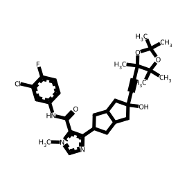 Cn1cnc(C2CC3CC(O)(C#CC4(C)OC(C)(C)OC4(C)C)CC3C2)c1C(=O)Nc1ccc(F)c(Cl)c1